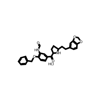 Cl.O=CNc1cc(C(=O)C2CCC(CCc3ccc4c(c3)OCO4)N2)ccc1OCc1ccccc1